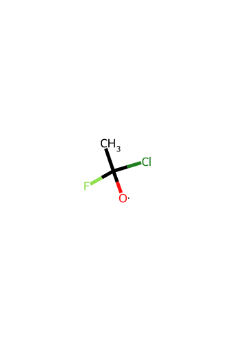 CC([O])(F)Cl